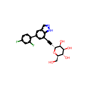 OC[C@H]1O[C@H](C#Cc2cc(-c3ccc(F)cc3F)cc3cn[nH]c23)[C@@H](O)[C@@H](O)[C@@H]1O